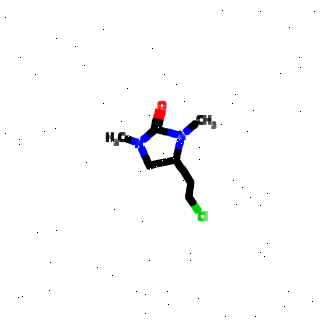 CN1CC(CCCl)N(C)C1=O